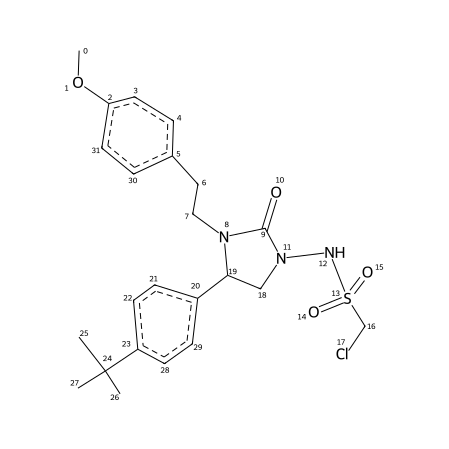 COc1ccc(CCN2C(=O)N(NS(=O)(=O)CCl)CC2c2ccc(C(C)(C)C)cc2)cc1